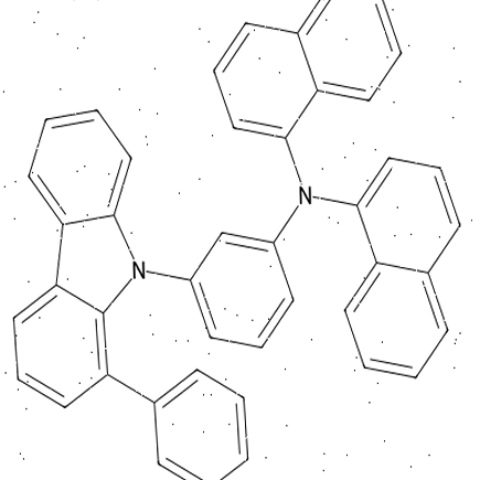 c1ccc(-c2cccc3c4ccccc4n(-c4cccc(N(c5cccc6ccccc56)c5cccc6ccccc56)c4)c23)cc1